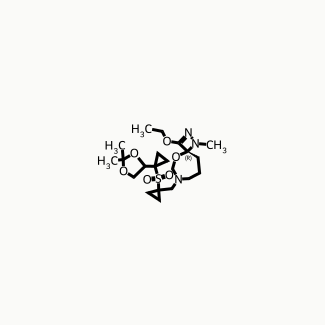 CCOC1=NN(C)[C@@]12CCCN(CC1(S(=O)(=O)C3(C4COC(C)(C)O4)CC3)CC1)CO2